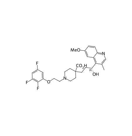 COc1ccc2ncc(C)c([C@H](O)CCC3(C(=O)O)CCN(CCOc4cc(F)cc(F)c4F)CC3)c2c1